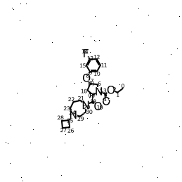 CCOC(=O)N1C[C@@H](Oc2cccc(F)c2)C[C@@H]1C(=O)N1CCCN(C2CCC2)CC1